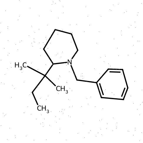 CCC(C)(C)C1CCCCN1Cc1ccccc1